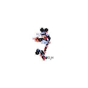 NC(=O)CC[C@H](NC(=O)[C@@H]1CC[C@@H]2CCN(C(=O)NCCOCCOCCOCCN(C(=O)[C@H]3CCCN(c4cncc5ccccc45)C3)c3ccc(=O)n(CC(=O)O)c3)C[C@H](NC(=O)c3cc4cc(C(=O)P(=O)(O)O)ccc4[nH]3)C(=O)N21)C(=O)NC(c1ccccc1)c1ccccc1